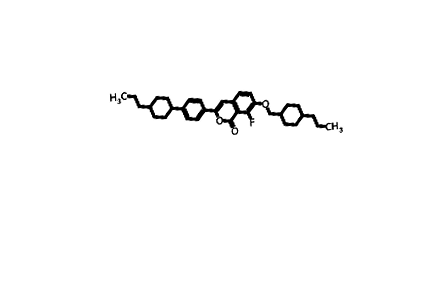 CCCC1CCC(COc2ccc3cc(-c4ccc(C5CCC(CCC)CC5)cc4)oc(=O)c3c2F)CC1